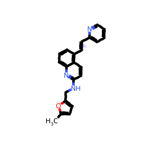 Cc1ccc(CNc2ccc3c(/C=C/c4ccccn4)cccc3n2)o1